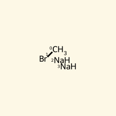 CBr.[NaH].[NaH]